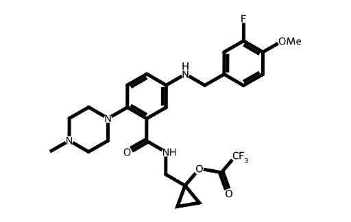 COc1ccc(CNc2ccc(N3CCN(C)CC3)c(C(=O)NCC3(OC(=O)C(F)(F)F)CC3)c2)cc1F